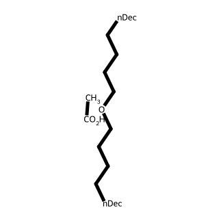 CC(=O)O.CCCCCCCCCCCCCCOCCCCCCCCCCCCCC